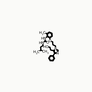 Cc1cccc(OCCCn2cnc(-c3ccccc3)c2CCO)c1NC(=O)NCCC(C)C